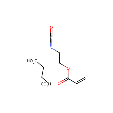 C=CC(=O)OCCN=C=O.O=C(O)CCC(=O)O